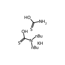 CCCCN(CCCC)C(O)=S.NC(O)=S.[KH]